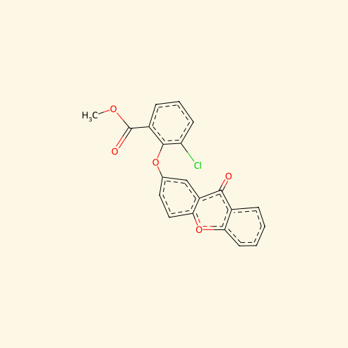 COC(=O)c1cccc(Cl)c1Oc1ccc2oc3ccccc3c(=O)c2c1